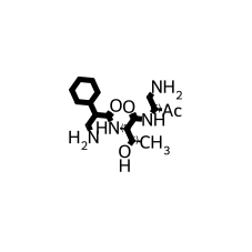 CC(=O)[C@H](CN)NC(=O)[C@@H](NC(=O)C(CN)C1CCCCC1)[C@H](C)O